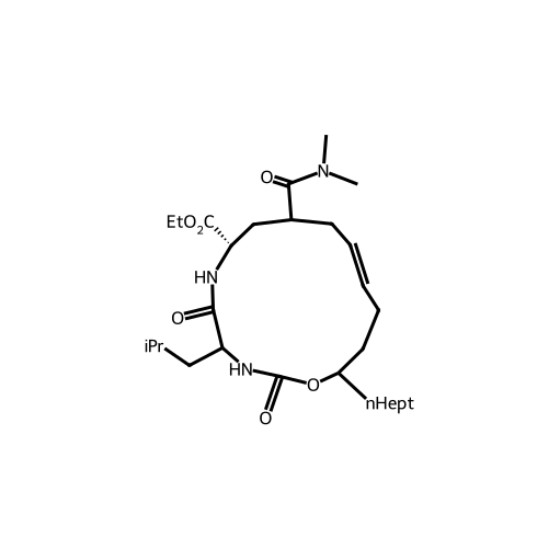 CCCCCCCC1CC/C=C\CC(C(=O)N(C)C)C[C@@H](C(=O)OCC)NC(=O)C(CC(C)C)NC(=O)O1